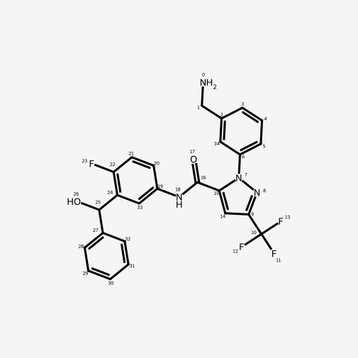 NCc1cccc(-n2nc(C(F)(F)F)cc2C(=O)Nc2ccc(F)c(C(O)c3ccccc3)c2)c1